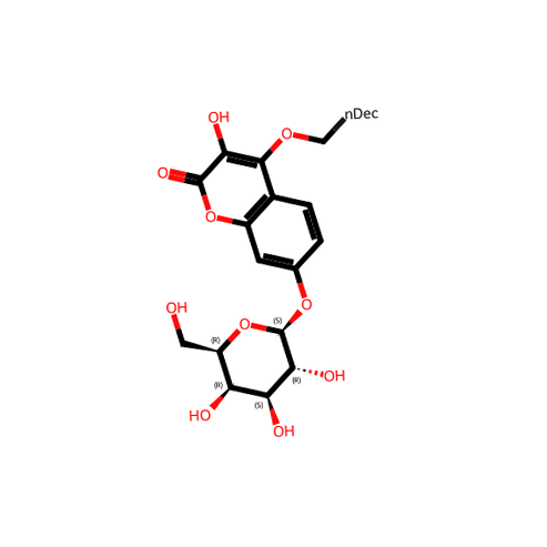 CCCCCCCCCCCOc1c(O)c(=O)oc2cc(O[C@@H]3O[C@H](CO)[C@H](O)[C@H](O)[C@H]3O)ccc12